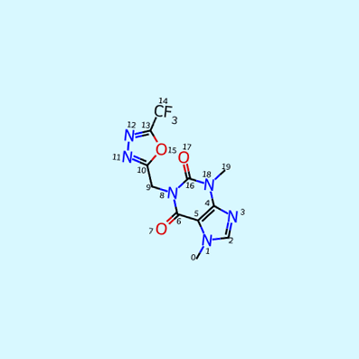 Cn1cnc2c1c(=O)n(Cc1nnc(C(F)(F)F)o1)c(=O)n2C